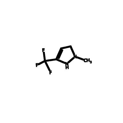 CN1CC=C(C(F)(F)F)N1